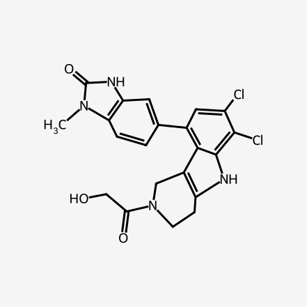 Cn1c(=O)[nH]c2cc(-c3cc(Cl)c(Cl)c4[nH]c5c(c34)CN(C(=O)CO)CC5)ccc21